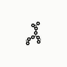 c1ccc(-n2c3ccccc3c3cc(-c4ccc(N(c5ccc(-c6ccc7sc8ccccc8c7c6)cc5)c5ccc6sc7ccccc7c6c5)cc4)ccc32)cc1